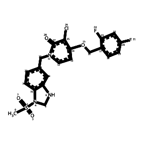 CS(=O)(=O)N1CNc2cc(Cn3ccc(OCc4ccc(F)cc4F)c(Cl)c3=O)ccc21